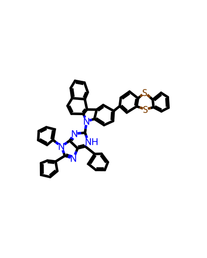 c1ccc(C2=c3nc(-c4ccccc4)n(-c4ccccc4)c3=NC(n3c4ccc(-c5ccc6c(c5)Sc5ccccc5S6)cc4c4c5ccccc5ccc43)N2)cc1